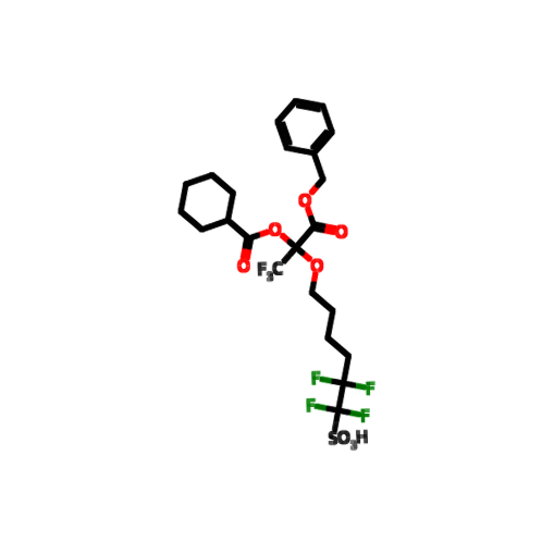 O=C(OC(OCCCCC(F)(F)C(F)(F)S(=O)(=O)O)(C(=O)OCc1ccccc1)C(F)(F)F)C1CCCCC1